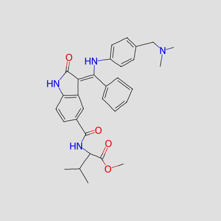 COC(=O)C(NC(=O)c1ccc2c(c1)/C(=C(/Nc1ccc(CN(C)C)cc1)c1ccccc1)C(=O)N2)C(C)C